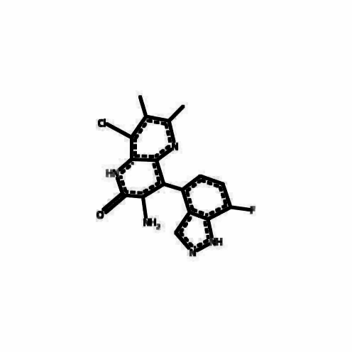 Cc1nc2c(-c3ccc(F)c4[nH]ncc34)c(N)c(=O)[nH]c2c(Cl)c1C